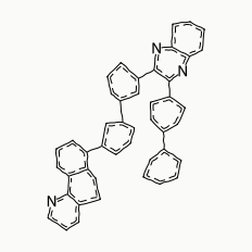 c1ccc(-c2ccc(-c3nc4ccccc4nc3-c3cccc(-c4cccc(-c5cccc6c5ccc5cccnc56)c4)c3)cc2)cc1